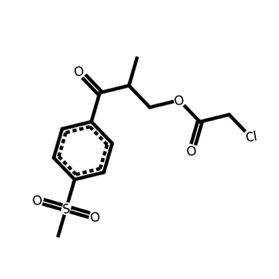 CC(COC(=O)CCl)C(=O)c1ccc(S(C)(=O)=O)cc1